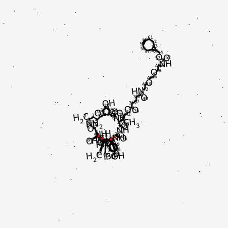 C=C(N)CC1NC(=O)C2C[S+]([O-])c3[nH]c4cc(O)ccc4c3CC(NC(=O)C(C(C)C(O)COC(=O)CCCC(=O)NCCOCCOCCNC(=O)OCC3C4CCC#CCCC43)NC(=O)C3CC(O)CC3C1=O)C(=O)NCC(=O)NC(C(C)CC)C(=C)NCC(=O)N2